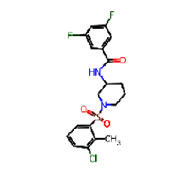 Cc1c(Cl)cccc1S(=O)(=O)N1CCCC(NC(=O)c2cc(F)cc(F)c2)C1